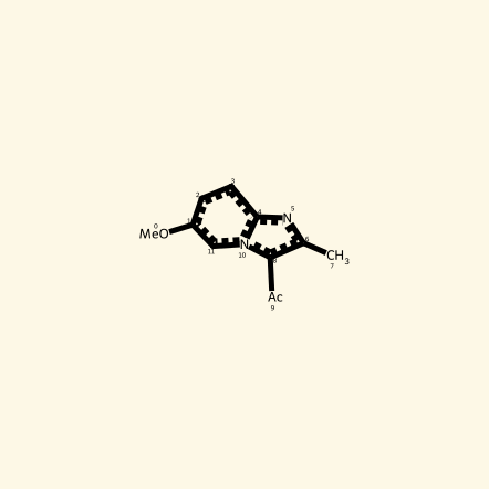 COc1ccc2nc(C)c(C(C)=O)n2c1